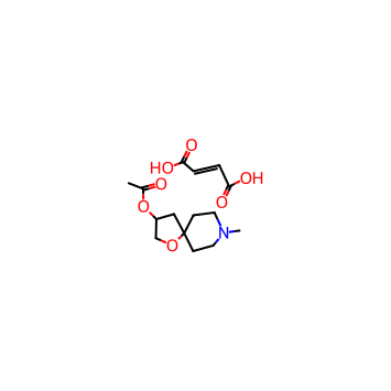 CC(=O)OC1COC2(CCN(C)CC2)C1.O=C(O)C=CC(=O)O